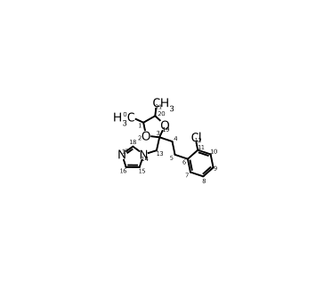 CC1OC(CCc2ccccc2Cl)(Cn2ccnc2)OC1C